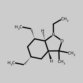 CC[C@@H]1C[C@H](CC)[C@@H]2[C@@H](C1)C(C)(C)ON2CC